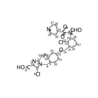 CCCc1nc(C(=O)O)c(Cl)n1Cc1ccc(OCc2cccc(N(C=O)S(=O)(=O)c3ccncc3)c2Cl)cc1